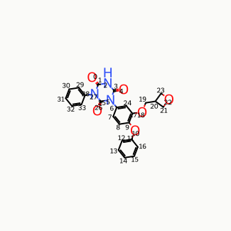 O=c1[nH]c(=O)n(-c2ccc(Oc3ccccc3)c(OCC3COC3)c2)c(=O)n1-c1ccccc1